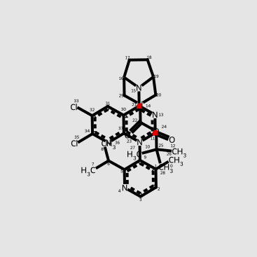 Cc1ccnc(C(C)C)c1-n1c(=O)nc(N2C3CCC2CN(C(=O)OC(C)(C)C)C3)c2cc(Cl)c(Cl)nc21